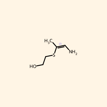 C/C(=C/N)SCCO